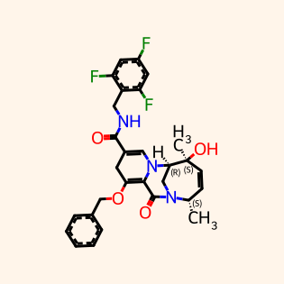 C[C@H]1C=C[C@](C)(O)[C@H]2CN1C(=O)C1=C(OCc3ccccc3)CC(C(=O)NCc3c(F)cc(F)cc3F)=CN12